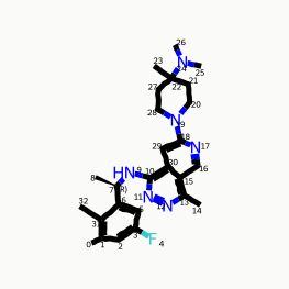 Cc1cc(F)cc([C@@H](C)Nc2nnc(C)c3cnc(N4CCC(C)(N(C)C)CC4)cc23)c1C